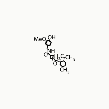 C=C(C)[C@@H]1CC[C@@H](C)C[C@H]1OC(=O)N1CC(C(=O)NCc2ccc(O)c(OC)c2)C1